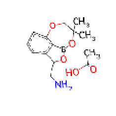 CC(=O)O.CC1(C)COc2cccc3c2B(OC3CN)O1